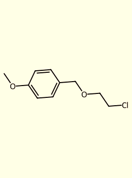 COc1ccc(COCCCl)cc1